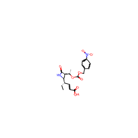 CC[C@@H](/C=C/C(=O)O)[C@H]1NC(=O)[C@H]1[C@H](C)OC(=O)OCc1ccc([N+](=O)[O-])cc1